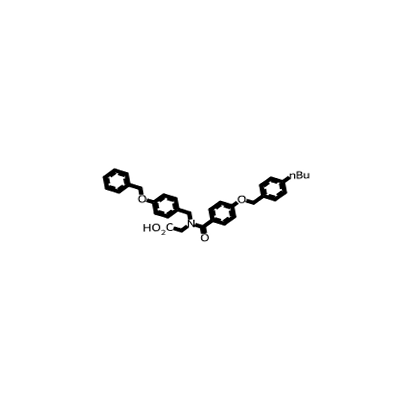 CCCCc1ccc(COc2ccc(C(=O)N(CC(=O)O)Cc3ccc(OCc4ccccc4)cc3)cc2)cc1